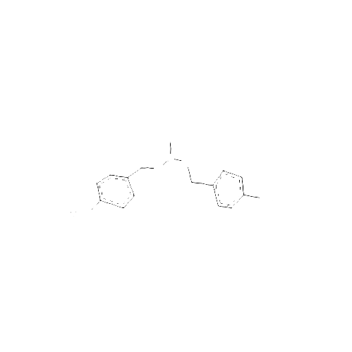 COc1ccc(COP(O)OCc2ccc(OC)cc2)cc1